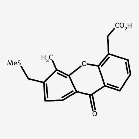 CSCc1ccc2c(=O)c3cccc(CC(=O)O)c3oc2c1C